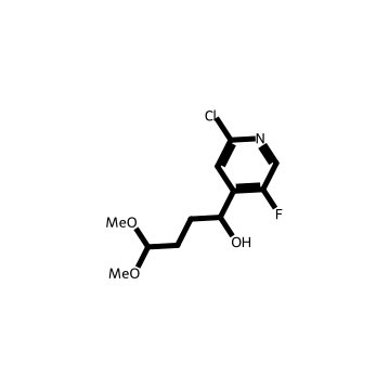 COC(CCC(O)c1cc(Cl)ncc1F)OC